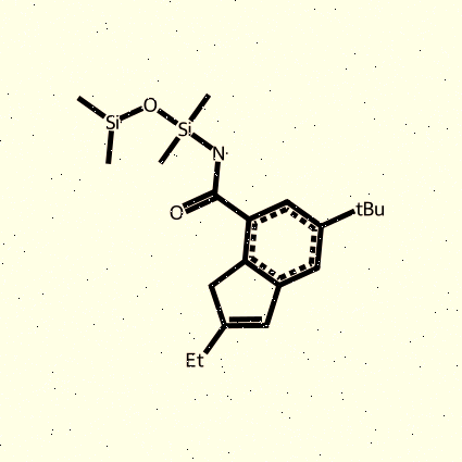 CCC1=Cc2cc(C(C)(C)C)cc(C(=O)[N][Si](C)(C)O[Si](C)C)c2C1